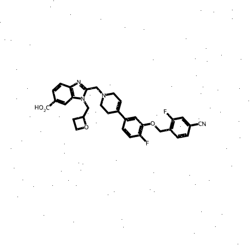 N#Cc1ccc(COc2cc(C3=CCN(Cc4nc5ccc(C(=O)O)cc5n4CC4CCO4)CC3)ccc2F)c(F)c1